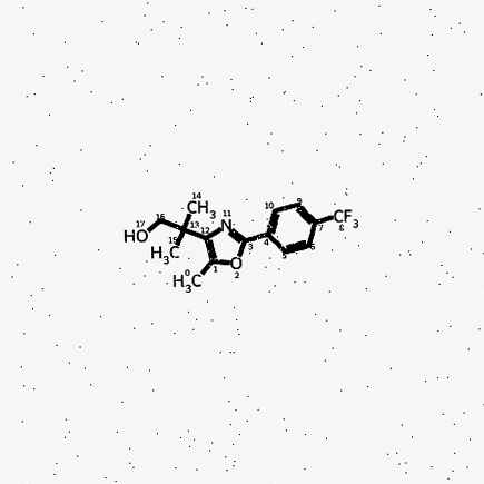 Cc1oc(-c2ccc(C(F)(F)F)cc2)nc1C(C)(C)CO